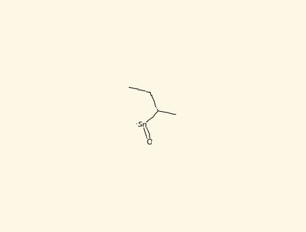 CC[CH](C)[Sn]=[O]